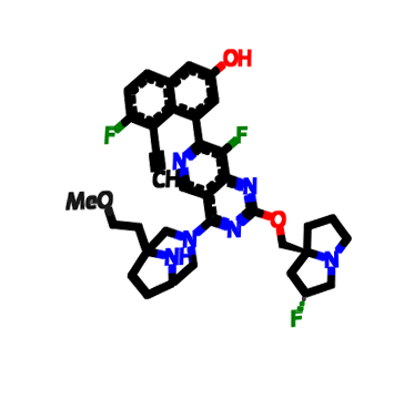 C#Cc1c(F)ccc2cc(O)cc(-c3ncc4c(N5CC6CCC(CCOC)(C5)N6)nc(OC[C@@]56CCCN5C[C@H](F)C6)nc4c3F)c12